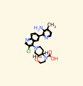 Cc1ccnc(-c2ccc3ncc(Cl)c(N4CC[C@H]5[C@H](C4)OCCN5C(=O)O)c3c2)c1N